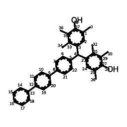 Cc1cc(C(c2ccc(-c3ccc(-c4ccccc4)cc3)cc2)c2cc(C)c(O)c(C)c2C)c(C)c(C)c1O